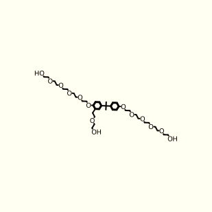 CC(C)(c1ccc(OCCOCCOCCOCCOCCO)cc1)c1ccc(OCCOCCOCCOCCOCCO)c(CCOCCO)c1